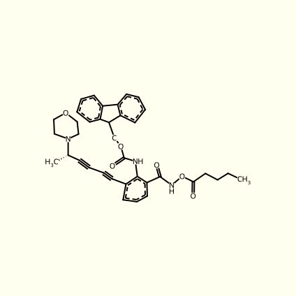 CCCCC(=O)ONC(=O)c1cccc(C#CC#C[C@H](C)N2CCOCC2)c1NC(=O)OCC1c2ccccc2-c2ccccc21